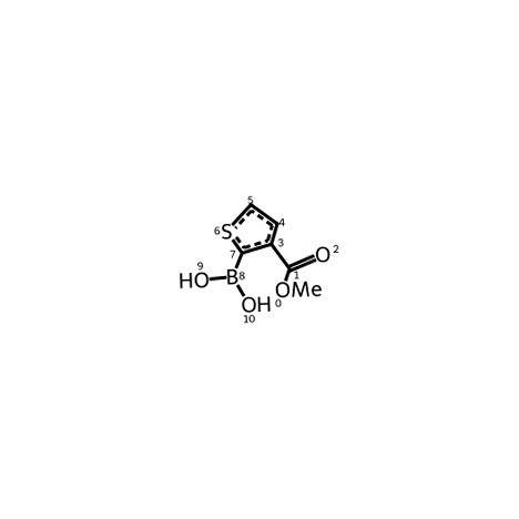 COC(=O)c1ccsc1B(O)O